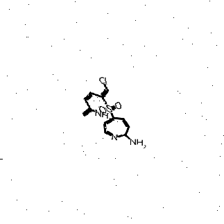 C=C(N)/C=C\C(=C/Cl)S(=O)(=O)C1=CC=NC(N)C=C1